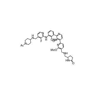 COc1nc(-c2ccnc(-c3cccc(Nc4nccc(CNC5CCN(C(C)=O)CC5)c4F)c3OC)c2Cl)ccc1CNCC1CCC(=O)N1